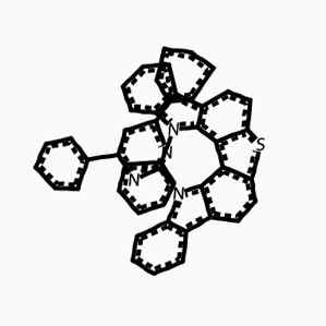 c1ccc(-c2cc(-c3ccccc3)nc(-n3c4ccccc4c4ccc5sc6ccc7c8ccccc8n(-c8ccccc8)c7c6c5c43)n2)cc1